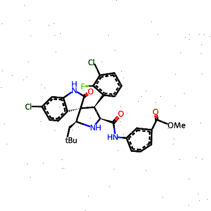 COC(=O)c1cccc(NC(=O)[C@H]2N[C@@H](CC(C)(C)C)[C@@]3(C(=O)Nc4cc(Cl)ccc43)[C@H]2c2cccc(Cl)c2F)c1